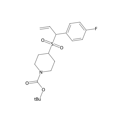 C=CC(c1ccc(F)cc1)S(=O)(=O)C1CCN(C(=O)OC(C)(C)C)CC1